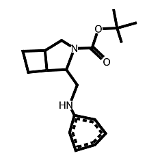 CC(C)(C)OC(=O)N1CC2CCC2C1CNc1ccccc1